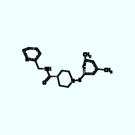 Cc1cc(C)cc(SN2CCC(C(=O)NCc3ccccn3)CC2)c1